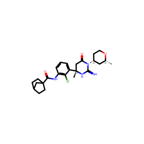 C[C@@H]1C[C@H](N2C(=N)N[C@](C)(c3cccc(NC(=O)C45CCC(CC4)C5)c3Cl)CC2=O)CCO1